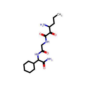 CCCC(N)C(=O)C(=O)NCC(=O)NC(C(N)=O)C1CCCCC1